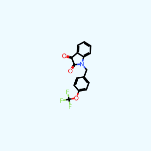 O=C1C(=O)N(Cc2ccc(OC(F)(F)F)cc2)c2ccccc21